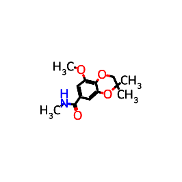 CNC(=O)c1cc(OC)c2c(c1)OC(C)(C)CO2